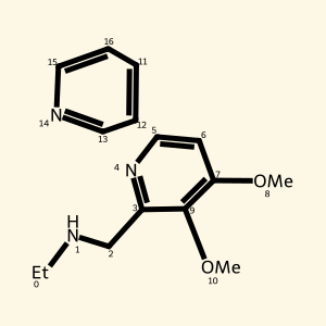 CCNCc1nccc(OC)c1OC.c1ccncc1